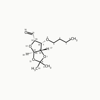 CCCCO[C@@H]1[C@@H]2OC(C)(C)O[C@H]2O[C@@H]1C=O